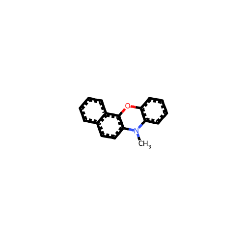 CN1c2ccccc2Oc2c1ccc1ccccc21